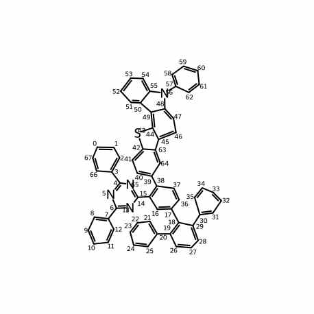 c1ccc(-c2nc(-c3ccccc3)nc(-c3cc(-c4c(-c5ccccc5)cccc4-c4ccccc4)ccc3-c3ccc4sc5c(ccc6c5c5ccccc5n6-c5ccccc5)c4c3)n2)cc1